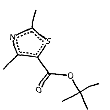 Cc1nc(C)c(C(=O)OC(C)(C)C)s1